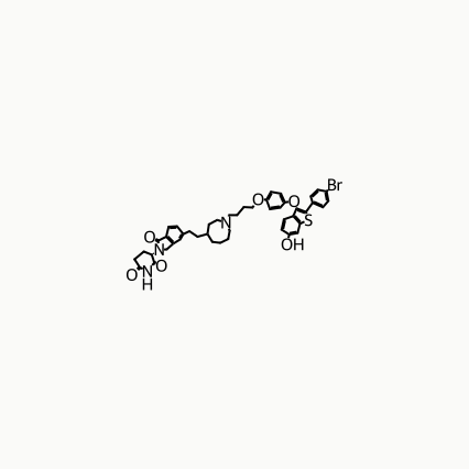 O=C1CC[C@H](N2Cc3cc(CCC4CCCCN(CCCCOc5ccc(Oc6c(-c7ccc(Br)cc7)sc7cc(O)ccc67)cc5)CC4)ccc3C2=O)C(=O)N1